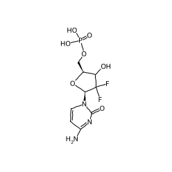 Nc1ccn([C@H]2O[C@@H](COP(=O)(O)O)C(O)C2(F)F)c(=O)n1